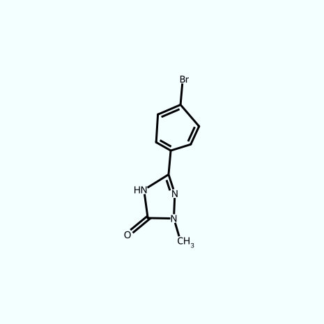 Cn1nc(-c2ccc(Br)cc2)[nH]c1=O